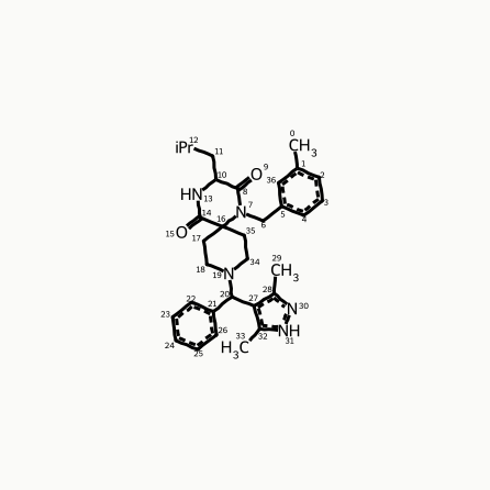 Cc1cccc(CN2C(=O)C(CC(C)C)NC(=O)C23CCN(C(c2ccccc2)c2c(C)n[nH]c2C)CC3)c1